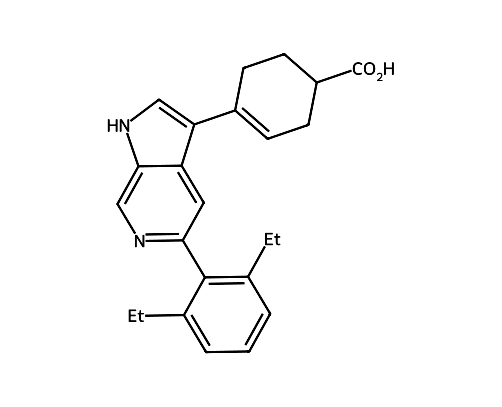 CCc1cccc(CC)c1-c1cc2c(C3=CCC(C(=O)O)CC3)c[nH]c2cn1